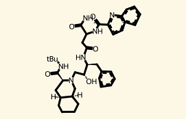 CC(C)(C)NC(=O)[C@@H]1C[C@@H]2CCCC[C@@H]2CN1C[C@@H](O)[C@H](Cc1ccccc1)NC(=O)CC(NC(=O)c1ccc2ccccc2n1)C(N)=O